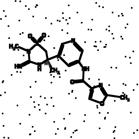 Cc1nc(C(=O)Nc2cncc([C@]3(C)CS(=O)(=O)N(C)C(=N)N3)c2)co1